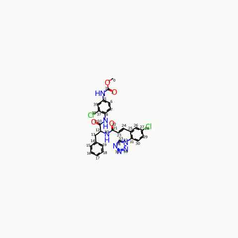 COC(=O)Nc1ccc(NC(=O)C(Cc2ccccc2)NC(=O)C=Cc2cc(Cl)ccc2-n2cnnn2)c(Cl)c1